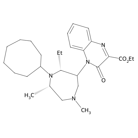 CCOC(=O)c1nc2ccccc2n(C2CN(C)C[C@H](C)N(C3CCCCCCC3)[C@@H]2CC)c1=O